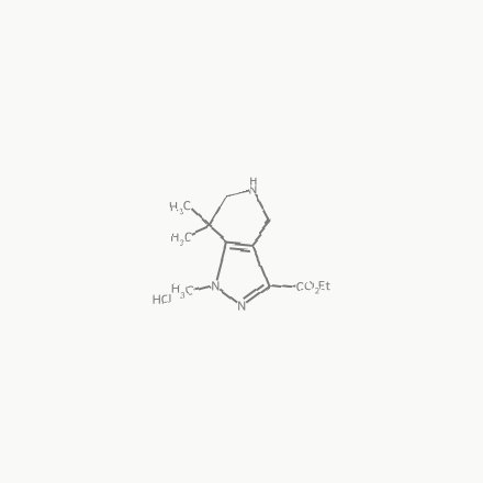 CCOC(=O)c1nn(C)c2c1CNCC2(C)C.Cl